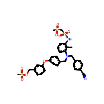 Cc1c(NS(=O)(=O)CS(C)(=O)=O)cccc1N(Cc1ccc(C#N)cc1)Cc1ccc(Oc2cccc(COS(C)(=O)=O)c2)cc1